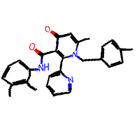 Cc1ccc(Cn2c(C)cc(=O)c(C(=O)Nc3cccc(C)c3C)c2-c2ccccn2)cc1